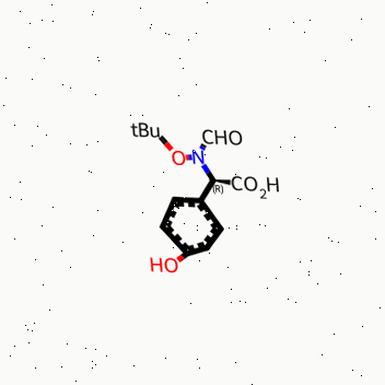 CC(C)(C)ON(C=O)[C@@H](C(=O)O)c1ccc(O)cc1